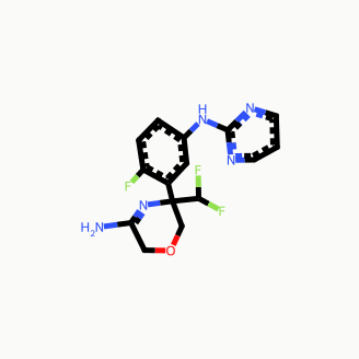 NC1=NC(c2cc(Nc3ncccn3)ccc2F)(C(F)F)COC1